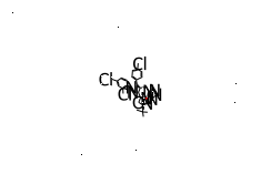 CC(C)(C)c1nnc(-c2nn(-c3ccc(Cl)cc3Cl)c(-c3ccc(Cl)cc3)c2Cn2cnnn2)o1